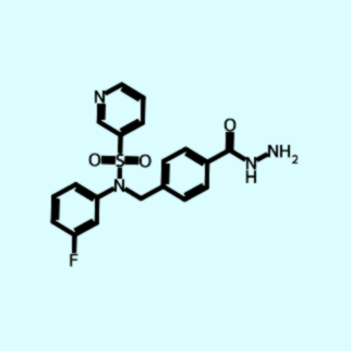 NNC(=O)c1ccc(CN(c2cccc(F)c2)S(=O)(=O)c2cccnc2)cc1